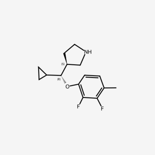 Cc1ccc(O[C@H](C2CC2)[C@H]2CCNC2)c(F)c1F